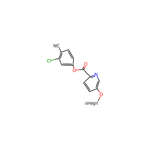 CCCCCCCOc1ccc(C(=O)Oc2ccc(C#N)c(Cl)c2)nc1